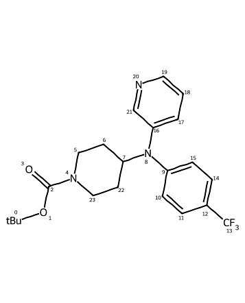 CC(C)(C)OC(=O)N1CCC(N(c2ccc(C(F)(F)F)cc2)c2cccnc2)CC1